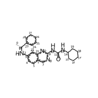 C[C@@H](Nc1ccc2cnc(NC(=O)NC3CCCCC3)nc2c1)c1ccccc1